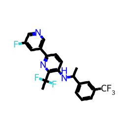 CC(Nc1ccc(-c2cncc(F)c2)nc1C(C)(F)F)c1cccc(C(F)(F)F)c1